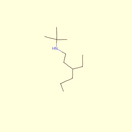 CCCC(CC)CCNC(C)(C)C